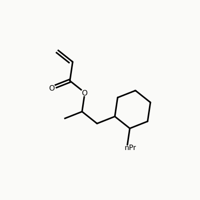 C=CC(=O)OC(C)CC1CCCCC1CCC